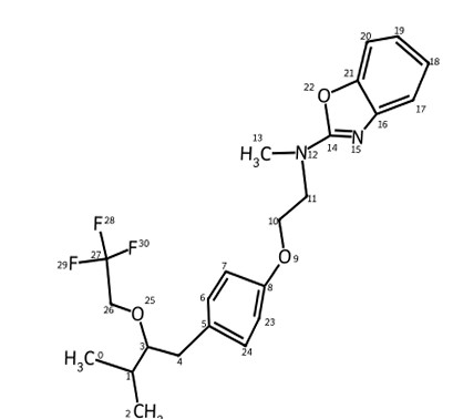 CC(C)C(Cc1ccc(OCCN(C)c2nc3ccccc3o2)cc1)OCC(F)(F)F